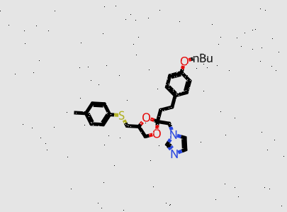 CCCCOc1ccc(CCC2(Cn3ccnc3)OCC(CSc3ccc(C)cc3)O2)cc1